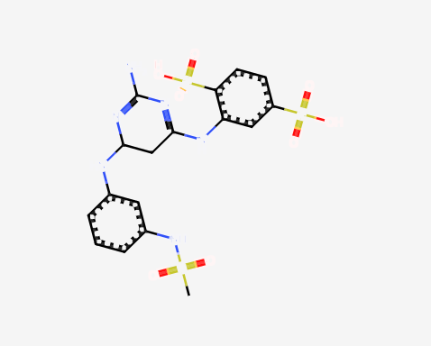 CS(=O)(=O)Nc1cccc(NC2CC(Nc3cc(S(=O)(=O)O)ccc3S(=O)(=O)O)=NC(N)=N2)c1